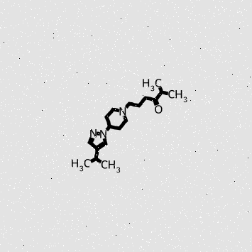 CC(C)C(=O)CCCN1CCC(n2cc(C(C)C)cn2)CC1